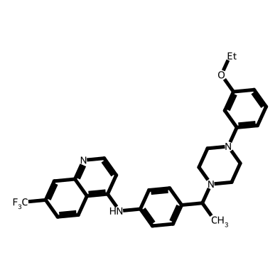 CCOc1cccc(N2CCN(C(C)c3ccc(Nc4ccnc5cc(C(F)(F)F)ccc45)cc3)CC2)c1